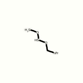 CCCCO[SiH]O[SiH2]